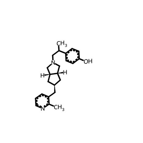 Cc1ncccc1C[C@H]1C[C@@H]2CN(CC(C)c3ccc(O)cc3)C[C@@H]2C1